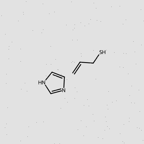 C=CCS.c1c[nH]cn1